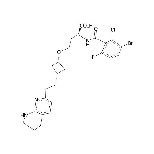 O=C(N[C@@H](CCO[C@H]1C[C@@H](CCc2ccc3c(n2)NCCC3)C1)C(=O)O)c1c(F)ccc(Br)c1Cl